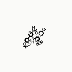 COC1CCN(c2cc(Nc3cc(NC(C)=O)ncc3-c3ccc4c(n3)OCC(C)(C)O4)nc(S(C)(=O)=O)c2)CC1